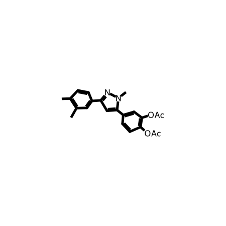 CC(=O)Oc1ccc(-c2cc(-c3ccc(C)c(C)c3)nn2C)cc1OC(C)=O